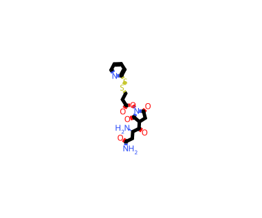 NC(=O)C[C@H](N)C(=O)C1CC(=O)N(OC(=O)CCSSc2ccccn2)C1=O